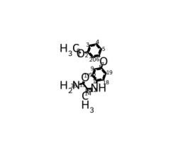 COc1cccc(Oc2ccc(N[C@H](C)C(N)=O)cc2)c1